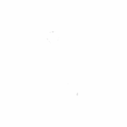 c1ccc(CCCOCCN2CCNCC2)cc1